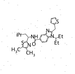 CCC(CC)n1c(Cc2cccs2)nc2cc(C(=O)NC(CC(C)C)c3nc(C)c(C)s3)ccc21